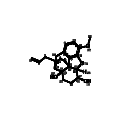 C=CCN1CC[C@@]23c4c5ccc(OC)c4O[C@@H]2[C@@H](O)CC[C@]3(O)C1C5